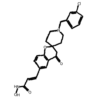 O=C(C=Cc1ccc2c(c1)C(=O)CC1(CCN(Cc3cccc(Cl)c3)CC1)O2)NO